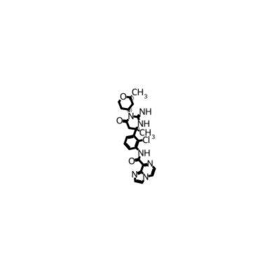 C[C@@H]1C[C@H](N2C(=N)N[C@](C)(c3cccc(NC(=O)c4nccn5ccnc45)c3Cl)CC2=O)CCO1